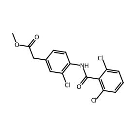 COC(=O)Cc1ccc(NC(=O)c2c(Cl)cccc2Cl)c(Cl)c1